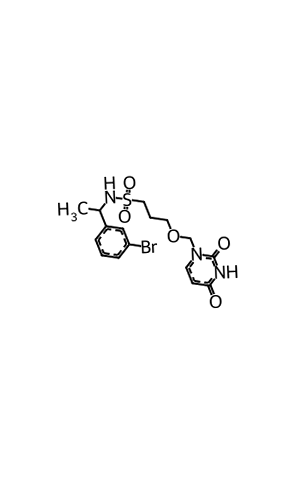 CC(NS(=O)(=O)CCCOCn1ccc(=O)[nH]c1=O)c1cccc(Br)c1